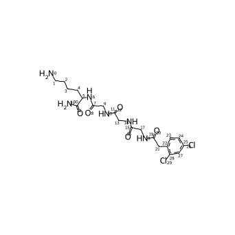 NCCCCC(NC(=O)CNC(=O)CNC(=O)CNC(=O)Cc1ccc(Cl)cc1Cl)C(N)=O